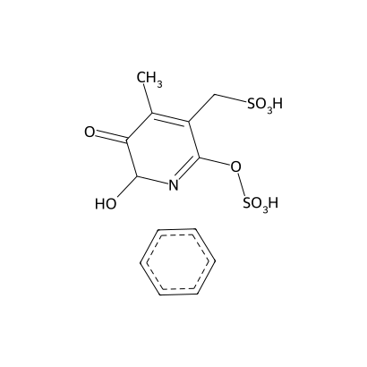 CC1=C(CS(=O)(=O)O)C(OS(=O)(=O)O)=NC(O)C1=O.c1ccccc1